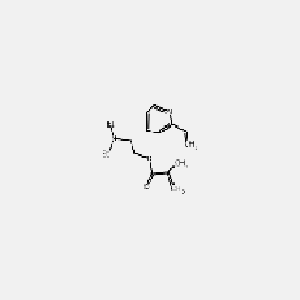 C=C(C)C(=O)OCCN(CC)CC.C=Cc1ccccn1